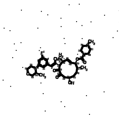 C/C(=C\c1cc(F)cc(N2CCOC[C@@H]2C)c1)[C@H]1C(=O)C(=O)C[C@@H](O)CC[C@@H](C)[C@@H](OC(=O)N2CCN(C)CC2)/C=C/[C@@H]1C